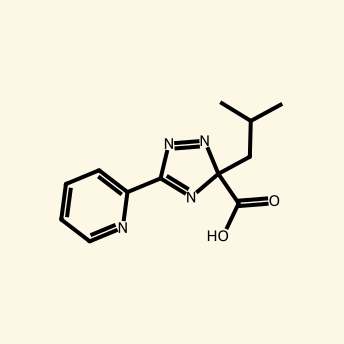 CC(C)CC1(C(=O)O)N=NC(c2ccccn2)=N1